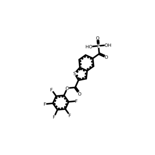 O=C(Oc1c(F)c(F)c(F)c(F)c1F)c1cc2cc(C(=O)P(=O)(O)O)ccc2s1